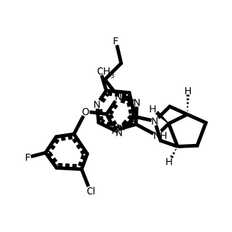 Cc1cc(N2C[C@H]3CC[C@@H](C2)[C@@H]3Nc2nc(Oc3cc(F)cc(Cl)c3)n(CCF)n2)ncn1